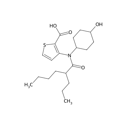 CCCCC(CCC)C(=O)N(c1ccsc1C(=O)O)C1CCC(O)CC1